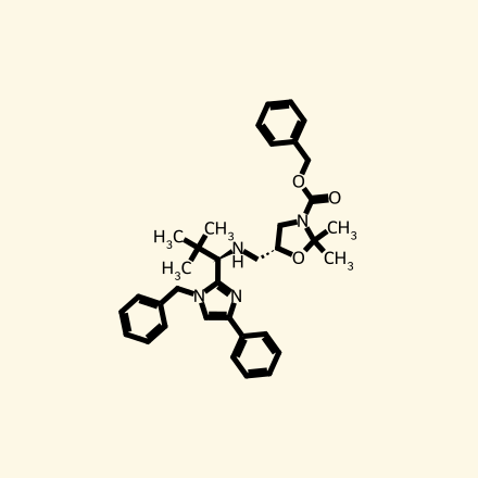 CC(C)(C)[C@@H](NC[C@@H]1CN(C(=O)OCc2ccccc2)C(C)(C)O1)c1nc(-c2ccccc2)cn1Cc1ccccc1